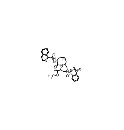 COC(=O)C1CN(S(=O)(=O)c2ccccc2[N+](=O)[O-])CC2C/C=C\CC(NC(=O)c3nccc4ccccc34)C(=O)N21